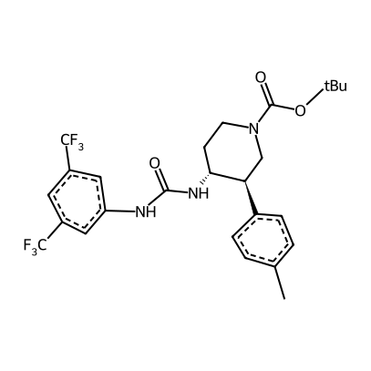 Cc1ccc([C@@H]2CN(C(=O)OC(C)(C)C)CC[C@H]2NC(=O)Nc2cc(C(F)(F)F)cc(C(F)(F)F)c2)cc1